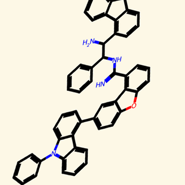 CC1(C)c2ccccc2-c2c(C(N)C(NC(=N)c3cccc4oc5ccc(-c6cccc7c6c6ccccc6n7-c6ccccc6)cc5c34)c3ccccc3)cccc21